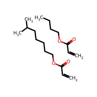 C=CC(=O)OCCCC.C=CC(=O)OCCCCCC(C)C